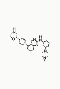 CN1CCN(c2cccc(Nc3ncc4c(-c5ccc(C6CNCCO6)cc5)cccc4n3)c2)CC1